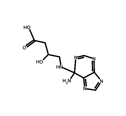 NC1(NCC(O)CC(=O)O)N=CN=C2N=CN=C21